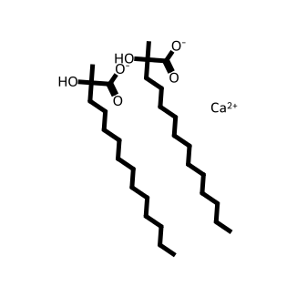 CCCCCCCCCCCCC(C)(O)C(=O)[O-].CCCCCCCCCCCCC(C)(O)C(=O)[O-].[Ca+2]